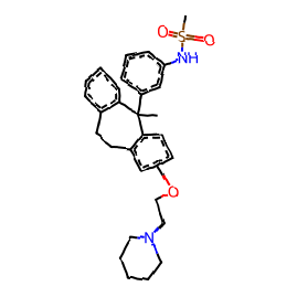 CC1(c2cccc(NS(C)(=O)=O)c2)c2ccccc2CCc2cc(OCCN3CCCCC3)ccc21